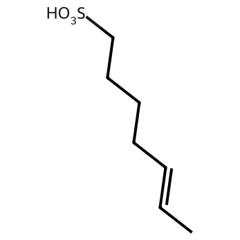 C/C=C/CCCCS(=O)(=O)O